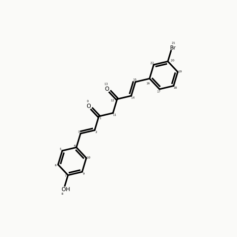 O=C(C=Cc1ccc(O)cc1)CC(=O)C=Cc1cccc(Br)c1